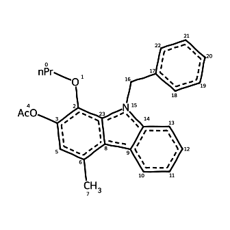 CCCOc1c(OC(C)=O)cc(C)c2c3ccccc3n(Cc3ccccc3)c12